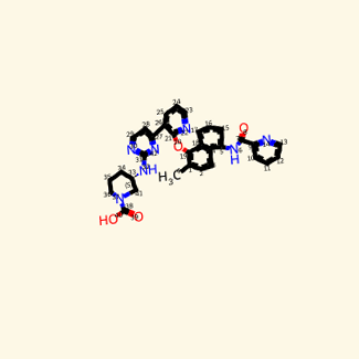 Cc1ccc2c(NC(=O)c3ccccn3)cccc2c1Oc1ncccc1-c1ccnc(N[C@H]2CCCN(C(=O)O)C2)n1